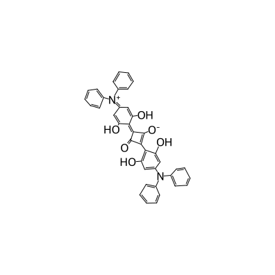 O=C1C(=C2C(O)=CC(=[N+](c3ccccc3)c3ccccc3)C=C2O)C([O-])=C1c1c(O)cc(N(c2ccccc2)c2ccccc2)cc1O